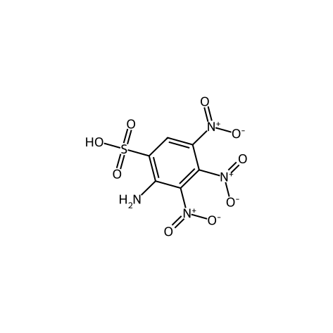 Nc1c(S(=O)(=O)O)cc([N+](=O)[O-])c([N+](=O)[O-])c1[N+](=O)[O-]